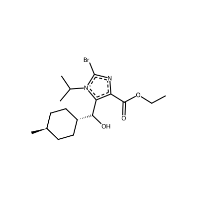 CCOC(=O)c1nc(Br)n(C(C)C)c1C(O)[C@H]1CC[C@H](C)CC1